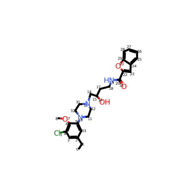 CCc1cc(Cl)c(OC)c(N2CCN(CC(O)CCNC(=O)c3cc4ccccc4o3)CC2)c1